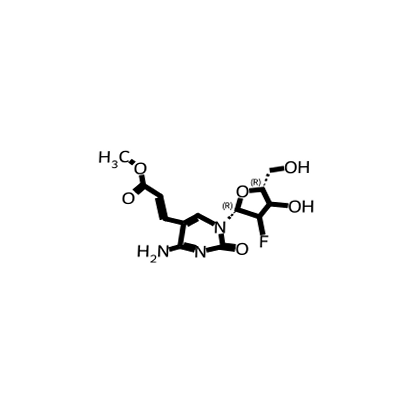 COC(=O)C=Cc1cn([C@@H]2O[C@H](CO)C(O)C2F)c(=O)nc1N